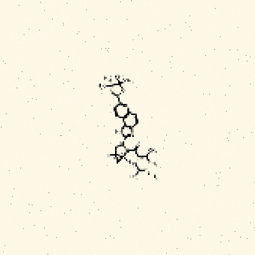 COC(O)N[C@H](C(=O)N1[C@@H]2C[C@@H]2C[C@H]1c1nc2ccc3cc(B4OC(C)(C)C(C)(C)O4)ccc3c2[nH]1)C(C)C